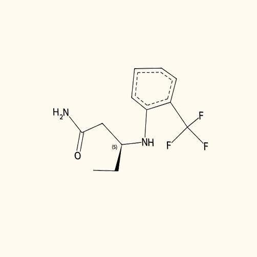 CC[C@@H](CC(N)=O)Nc1ccccc1C(F)(F)F